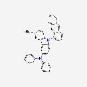 CC(C)(C)c1ccc2c(c1)c1cc(N(c3ccccc3)c3ccccc3)ccc1n2-c1cccc2cc3ccccc3cc12